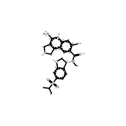 CC(C)S(=O)(=O)c1ccc2c(c1)OC[C@@H]2N(C)C(=O)c1cc2c3c(c(N)nc2cc1F)COC3